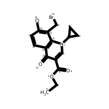 CCOC(=O)c1cn(C2CC2)c2c(CBr)c(Cl)ccc2c1=O